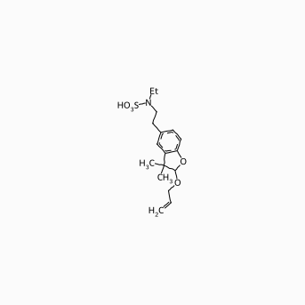 C=CCOC1Oc2ccc(CCN(CC)S(=O)(=O)O)cc2C1(C)C